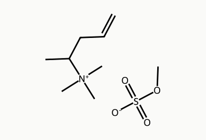 C=CCC(C)[N+](C)(C)C.COS(=O)(=O)[O-]